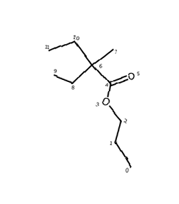 CCCOC(=O)C(C)(CC)CC